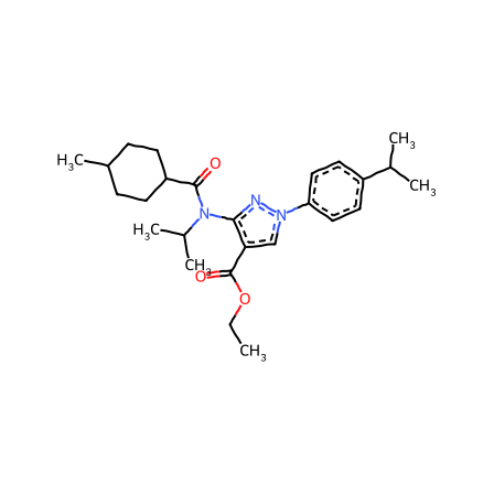 CCOC(=O)c1cn(-c2ccc(C(C)C)cc2)nc1N(C(=O)C1CCC(C)CC1)C(C)C